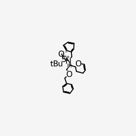 CC(C)(C)[S@@+]([O-])N(Cc1ccccc1)[C@H](COCc1ccccc1)C1CCC=CO1